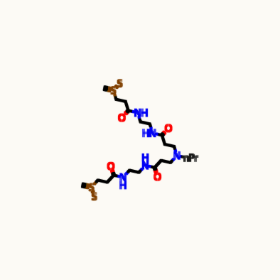 C#S(=S)CCC(=O)NCCNC(=O)CCN(CCC)CCC(=O)NCCNC(=O)CCS(#C)=S